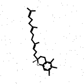 CC(C)=CCC/C(C)=C/CC/C(C)=C/CC[C@]1(C)CCc2c(cc(C)c(C)c2C)O1